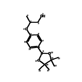 CC(CO)Oc1ccc(B2OC(C)(C)C(C)(C)O2)cc1